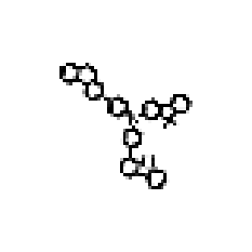 CC1(C)c2ccccc2-c2ccc(N(c3ccc(-c4ccc5c(ccc6ccccc65)c4)cc3)c3ccc(-c4cccc5c4oc4ccccc45)cc3)cc21